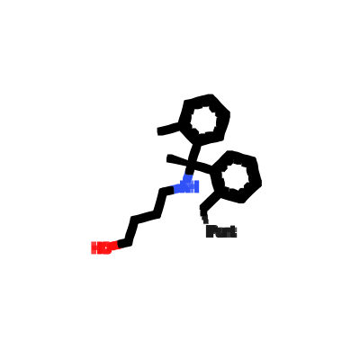 CCC[C@@H](C)Cc1ccccc1[C@](C)(NCCCCO)c1ccccc1C